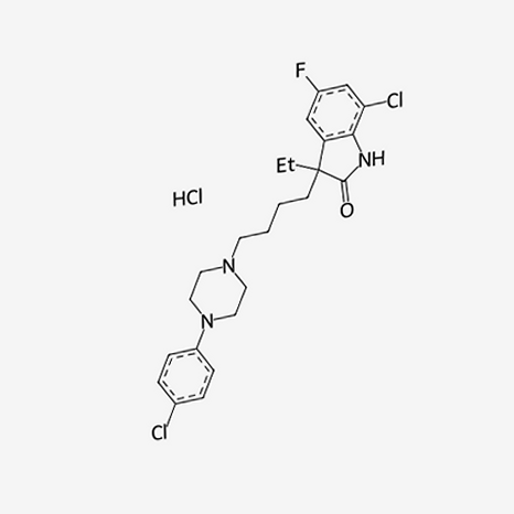 CCC1(CCCCN2CCN(c3ccc(Cl)cc3)CC2)C(=O)Nc2c(Cl)cc(F)cc21.Cl